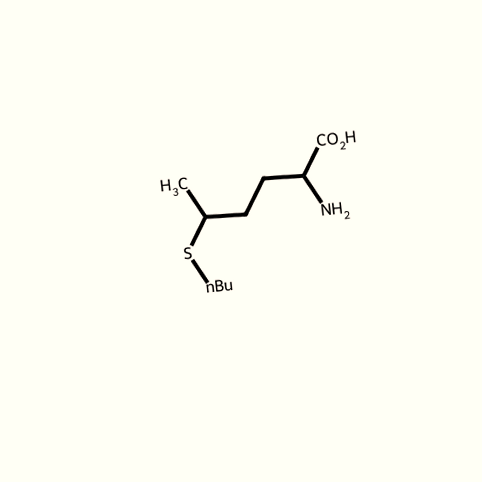 CCCCSC(C)CCC(N)C(=O)O